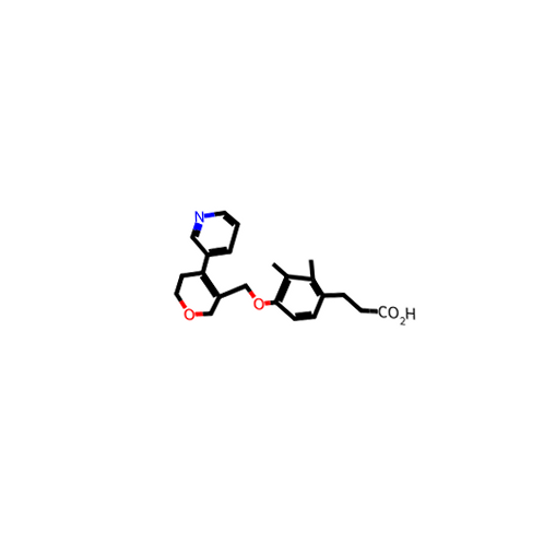 Cc1c(CCC(=O)O)ccc(OCC2=C(c3cccnc3)CCOC2)c1C